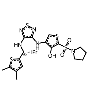 Cc1cc([C@H](Nc2nsnc2Nc2csc(S(=O)(=O)N3CCCC3)c2O)C(C)C)sc1C